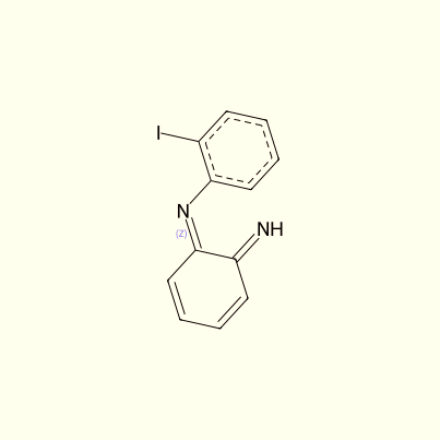 N=C1C=CC=C/C1=N/c1ccccc1I